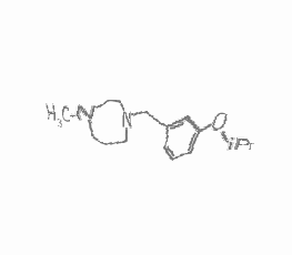 CC(C)Oc1cccc(CN2CCCN(C)CC2)c1